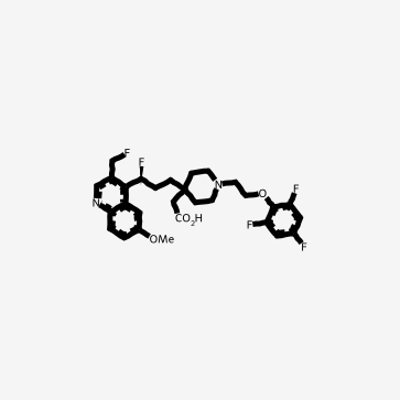 COc1ccc2ncc(CF)c([C@@H](F)CCC3(CC(=O)O)CCN(CCOc4c(F)cc(F)cc4F)CC3)c2c1